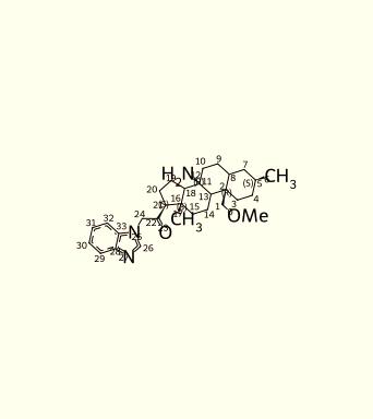 COC[C@]12CC[C@H](C)CC1CC[C@]1(N)C2CC[C@@]2(C)C1CC[C@@H]2C(=O)Cn1cnc2ccccc21